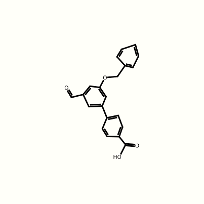 O=Cc1cc(OCc2ccccc2)cc(-c2ccc(C(=O)O)cc2)c1